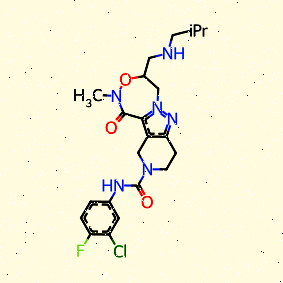 CC(C)CNCC1Cn2nc3c(c2C(=O)N(C)O1)CN(C(=O)Nc1ccc(F)c(Cl)c1)CC3